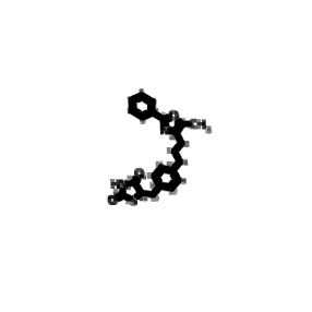 Cc1oc(-c2ccccc2)nc1CCCc1ccc(CC2SC(=O)NC2=O)cc1